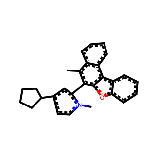 Cc1c(-c2cc(C3CCCC3)cc[n+]2C)c2oc3ccccc3c2c2ccccc12